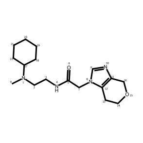 CN(CCNC(=O)Cn1cnc2c1CCOC2)C1CCCCC1